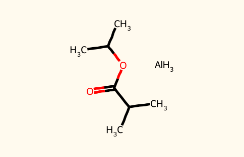 CC(C)OC(=O)C(C)C.[AlH3]